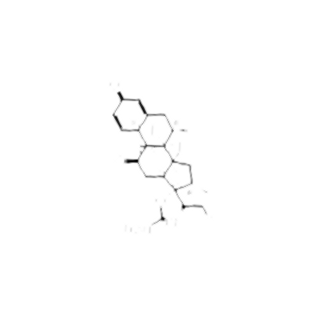 CCCCC(=O)O[C@@]1(C(=O)CO)[C@H](C)C[C@H]2[C@@H]3[C@H](Cl)CC4=CC(=O)C=C[C@]4(C)[C@H]3C(=O)C[C@@]21C